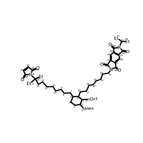 CCCCCCCCC1C(CCCCCC)CCC(CCCCCCCCC(CC)(CC)N2C(=O)C=CC2=O)C1CCCCCCCCn1c(=O)c2cc3c(=O)n(C(CC)CC)c(=O)c3cc2c1=O